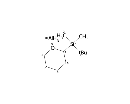 CC(C)(C)[Si](C)(C)C1CCCCO1.[AlH3]